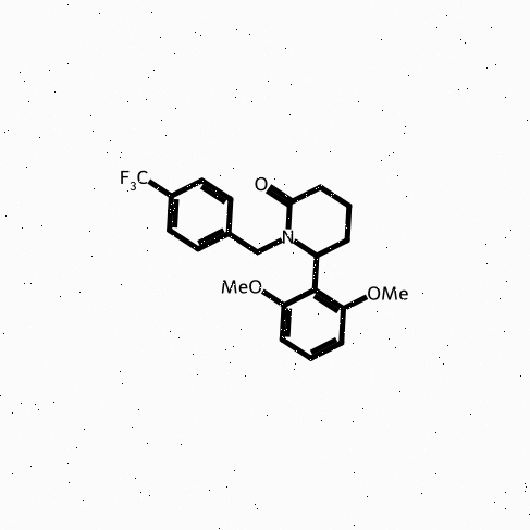 COc1cccc(OC)c1C1CCCC(=O)N1Cc1ccc(C(F)(F)F)cc1